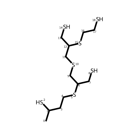 CC(S)CCSC(CS)CSCC(CS)SCCS